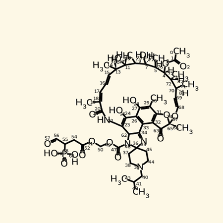 CC(=O)O[C@H]1[C@H](C)[C@H](O)[C@H](C)[C@@H](O)[C@@H](C)/C=C/C=C(/C)C(=O)NC2=C(O)c3c(O)c(C)c4c(c3C3=NC5(CCN(CC(C)C)CC5)N(C(=O)OCOC(=O)CC(C=O)P(=O)(O)O)C32)C(=O)[C@@](C)(O/C=C/[C@H](C)[C@H]1C)O4